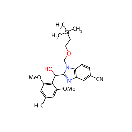 COc1cc(C)cc(OC)c1C(O)c1nc2cc(C#N)ccc2n1COCC[Si](C)(C)C